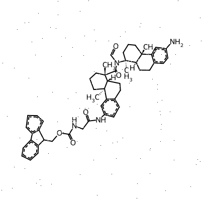 C[C@]1(N(C=O)C(=O)[C@@]2(C)CCC[C@]3(C)c4cc(NC(=O)CNC(=O)OCC5c6ccccc6-c6ccccc65)ccc4CC[C@@H]23)CCC[C@]2(C)c3cc(N)ccc3CC[C@@H]12